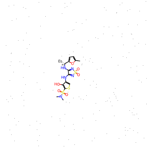 CC[C@@H](NC1=NS(=O)(=O)N=C1Nc1csc(S(=O)(=O)N(C)C)c1O)c1ccc(C)o1